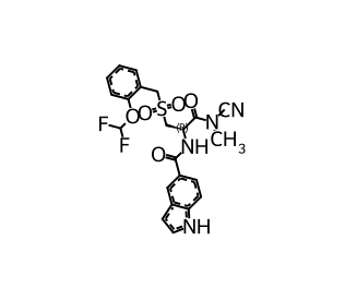 CN(C#N)C(=O)[C@H](CS(=O)(=O)Cc1ccccc1OC(F)F)NC(=O)c1ccc2[nH]ccc2c1